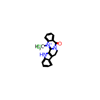 C[n+]1c2n(c(=O)c3ccccc31)CCc1c-2[nH]c2ccccc12.[Cl-]